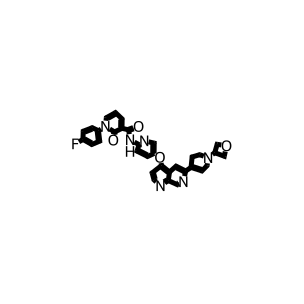 O=C(Nc1ccc(Oc2ccnc3cnc(C4=CCN(C5COC5)CC4)cc23)cn1)c1cccn(-c2ccc(F)cc2)c1=O